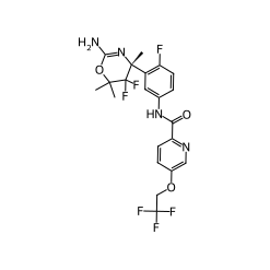 CC1(C)OC(N)=N[C@](C)(c2cc(NC(=O)c3ccc(OCC(F)(F)F)cn3)ccc2F)C1(F)F